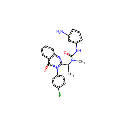 CC(c1nc2ccccc2c(=O)n1-c1ccc(F)cc1)N(C)C(=O)Nc1cccc(N)c1